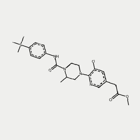 COC(=O)Cc1cnc(N2CCN(C(=O)Nc3ccc([Si](C)(C)C)cc3)C(C)C2)c(Cl)c1